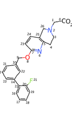 O=C(O)CN1CCc2nc(OCc3cccc(-c4ccccc4F)c3)ccc2C1